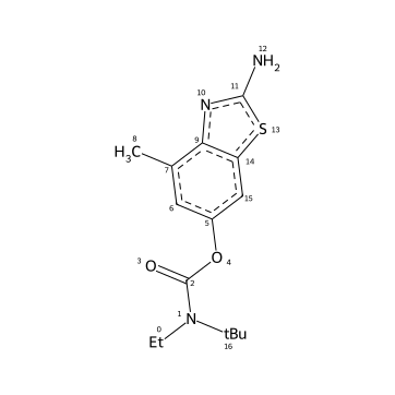 CCN(C(=O)Oc1cc(C)c2nc(N)sc2c1)C(C)(C)C